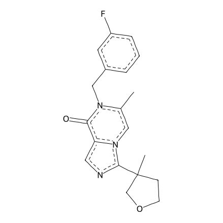 Cc1cn2c(C3(C)CCOC3)ncc2c(=O)n1Cc1cccc(F)c1